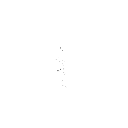 CC(C)[C@@H](OC(=O)N1CCC1)C1C[C@@H](C)[C@H]2C(O1)[C@H](O)[C@@]1(C)C3CC[C@H]4C(C)(C)C(OC(=O)NC5CN(CC(F)(F)F)C5)CC[C@@]45C[C@@]35CC[C@]21C